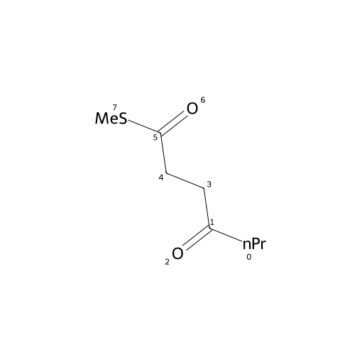 CCCC(=O)CCC(=O)SC